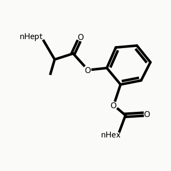 CCCCCCCC(C)C(=O)Oc1ccccc1OC(=O)CCCCCC